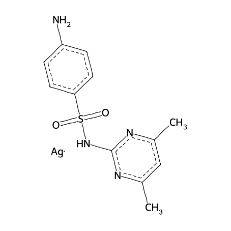 Cc1cc(C)nc(NS(=O)(=O)c2ccc(N)cc2)n1.[Ag]